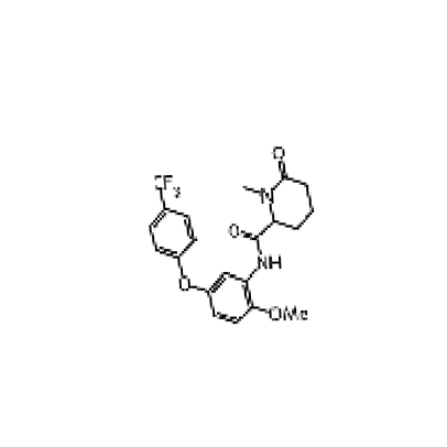 COc1ccc(Oc2ccc(C(F)(F)F)cc2)cc1NC(=O)C1CCCC(=O)N1C